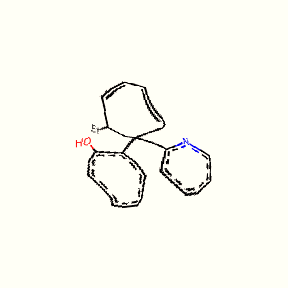 CCC1C=CC=CC1(c1ccccn1)c1ccccc1O